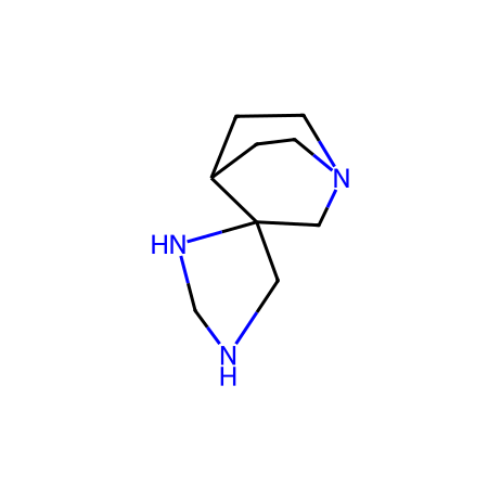 C1NCC2(CN3CCC2CC3)N1